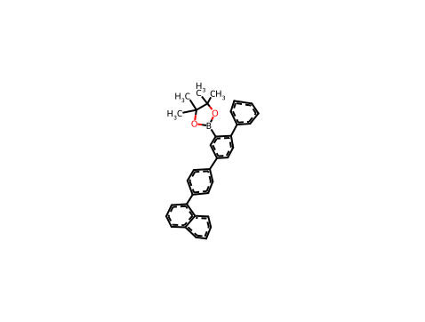 CC1(C)OB(c2cc(-c3ccc(-c4cccc5ccccc45)cc3)ccc2-c2ccccc2)OC1(C)C